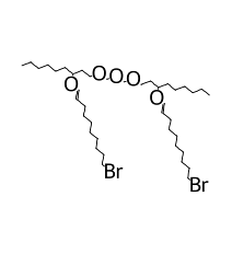 CCCCCCC(CCOCOCOCCC(CCCCCC)OC=CCCCCCCCCBr)OC=CCCCCCCCCBr